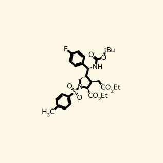 CCOC(=O)C[C@@H]1[C@@H]([C@@H](NC(=O)OC(C)(C)C)c2ccc(F)cc2)CN(S(=O)(=O)c2ccc(C)cc2)[C@@H]1C(=O)OCC